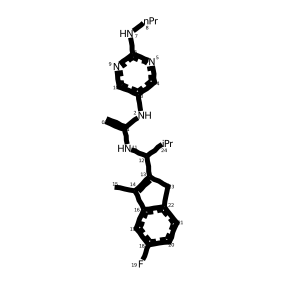 C=C(Nc1cnc(NCCC)nc1)NC(C1=C(C)c2cc(F)ccc2C1)C(C)C